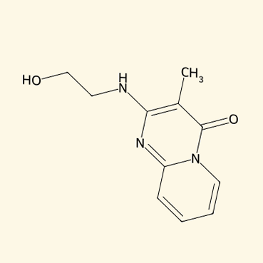 Cc1c(NCCO)nc2ccccn2c1=O